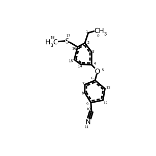 CCc1cc(Oc2ccc(C#N)cc2)ccc1SC